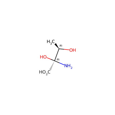 C[C@@H](O)[C@@](N)(O)C(=O)O